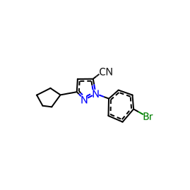 N#Cc1cc(C2CCCC2)nn1-c1ccc(Br)cc1